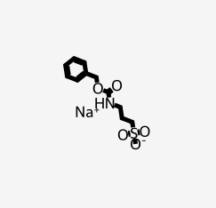 O=C(NCCCS(=O)(=O)[O-])OCc1ccccc1.[Na+]